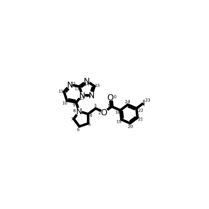 O=C(OCC1CCCN1c1ccnc2ncnn12)c1cccc(I)c1